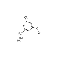 Cl.Cl.FC(F)(F)c1cc([O][Zr])cc(C(F)(F)F)c1